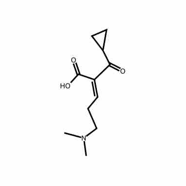 CN(C)CCC=C(C(=O)O)C(=O)C1CC1